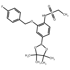 CCS(=O)(=O)Nc1ccc(B2OC(C)(C)C(C)(C)O2)cc1OCc1ccc(F)cc1